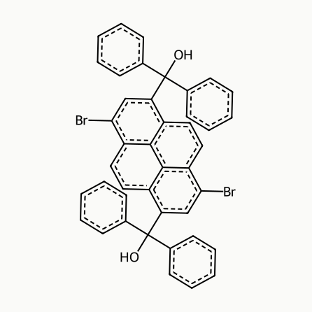 OC(c1ccccc1)(c1ccccc1)c1cc(Br)c2ccc3c(C(O)(c4ccccc4)c4ccccc4)cc(Br)c4ccc1c2c43